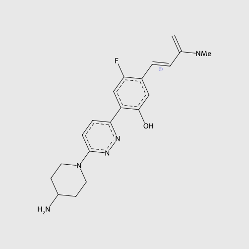 C=C(/C=C/c1cc(O)c(-c2ccc(N3CCC(N)CC3)nn2)cc1F)NC